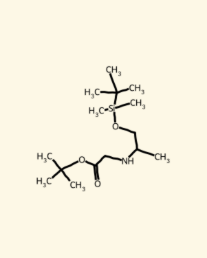 CC(CO[Si](C)(C)C(C)(C)C)NCC(=O)OC(C)(C)C